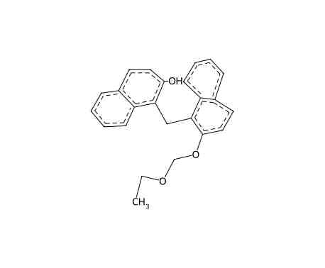 CCOCOc1ccc2ccccc2c1Cc1c(O)ccc2ccccc12